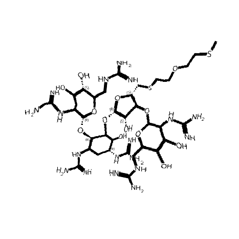 CSCCOCCSC[C@H]1O[C@@H](OC2C(O)[C@H](NC(=N)N)CC(NC(=N)N)[C@H]2O[C@H]2OC(CNC(=N)N)[C@@H](O)C(O)C2NC(=N)N)[C@@H](O)C1OC1OC(CNC(=N)N)C(O)C(O)C1NC(=N)N